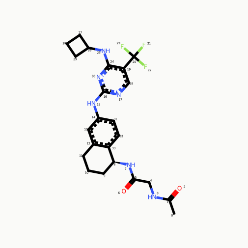 CC(=O)NCC(=O)N[C@H]1CCCc2cc(Nc3ncc(C(F)(F)F)c(NC4CCC4)n3)ccc21